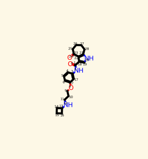 O=C(Nc1cccc(OCCCNC2CCC2)c1)c1c[nH]c2c1C(=O)CCCC2